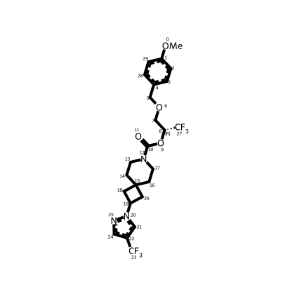 COc1ccc(COC[C@@H](OC(=O)N2CCC3(CC2)CC(n2cc(C(F)(F)F)cn2)C3)C(F)(F)F)cc1